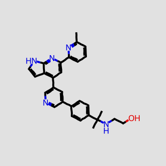 Cc1cccc(-c2cc(-c3cncc(-c4ccc(C(C)(C)NCCO)cc4)c3)c3cc[nH]c3n2)n1